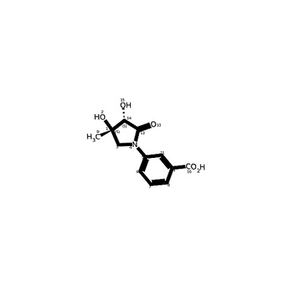 C[C@]1(O)CN(c2cccc(C(=O)O)c2)C(=O)[C@H]1O